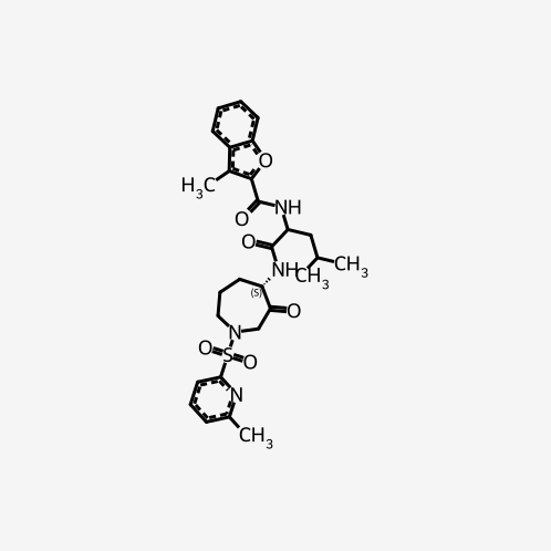 Cc1cccc(S(=O)(=O)N2CCC[C@H](NC(=O)C(CC(C)C)NC(=O)c3oc4ccccc4c3C)C(=O)C2)n1